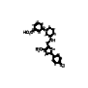 Cc1nc(-c2ccc(Cl)cc2)sc1CN[C@H]1CCCN(c2cccc(C(=O)O)c2)C1